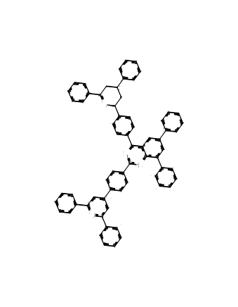 c1ccc(C2=NC(c3ccc(-c4nc(-c5ccc(-c6cc(-c7ccccc7)nc(-c7ccccc7)c6)cc5)nc5c(-c6ccccc6)cc(-c6ccccc6)cc45)cc3)CC(c3ccccc3)C2)cc1